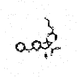 CC1(C)[C@H](/C=C\C(=O)OCCF)[C@@]1(C(=O)O)[C@H](C#N)c1cccc(Oc2ccccc2)n1